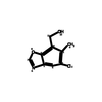 Cc1c(Cl)cc2ncoc2c1CO